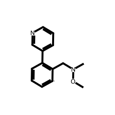 CON(C)Cc1[c]cccc1-c1cccnc1